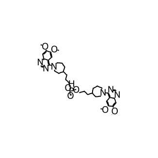 COc1cc2ncnc(N3CCCC(CCCO[PH](=O)OCCCC4CCCN(c5ncnc6cc(OC)c(OC)cc56)CC4)CC3)c2cc1OC